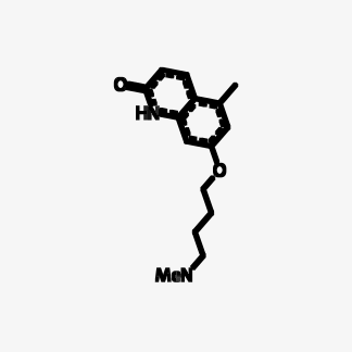 CNCCCCOc1cc(C)c2ccc(=O)[nH]c2c1